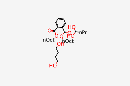 CCCC(O)O.CCCCCCCCOC(=O)c1ccccc1C(=O)OCCCCCCCC.OCCCCO